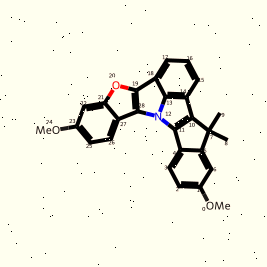 COc1ccc2c(c1)C(C)(C)c1c-2n2c3c1cccc3c1oc3cc(OC)ccc3c12